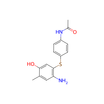 CC(=O)Nc1ccc(Sc2cc(O)c(C)cc2N)cc1